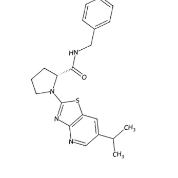 CC(C)c1cnc2nc(N3CCC[C@@H]3C(=O)NCc3ccccc3)sc2c1